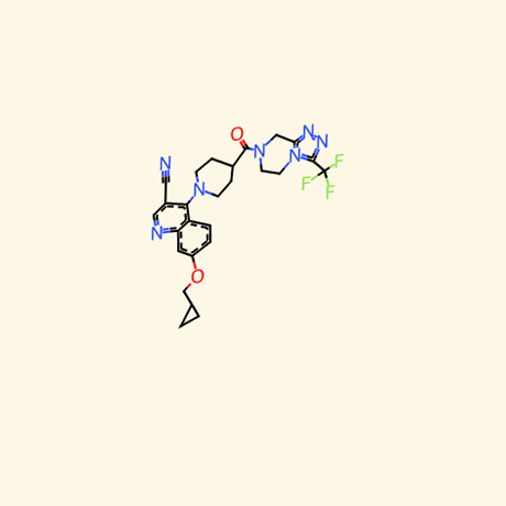 N#Cc1cnc2cc(OCC3CC3)ccc2c1N1CCC(C(=O)N2CCn3c(nnc3C(F)(F)F)C2)CC1